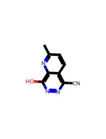 Cc1ccc2c(C#N)nnc(O)c2n1